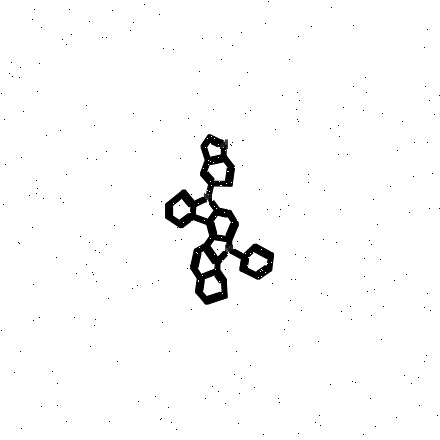 C1=Nc2ccc(-n3c4ccccc4c4c5c6ccc7ccccc7c6n(-c6ccccc6)c5ccc43)cc2C1